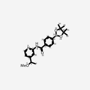 COC(C)c1ccnc(NC(=O)c2ccc(B3OC(C)(C)C(C)(C)O3)cc2)c1